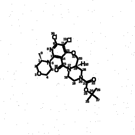 C[C@H]1COCCN1c1nc(Cl)c(Cl)c2c1C(=O)N1CCN(C(=O)OC(C)(C)C)C[C@@H]1CO2